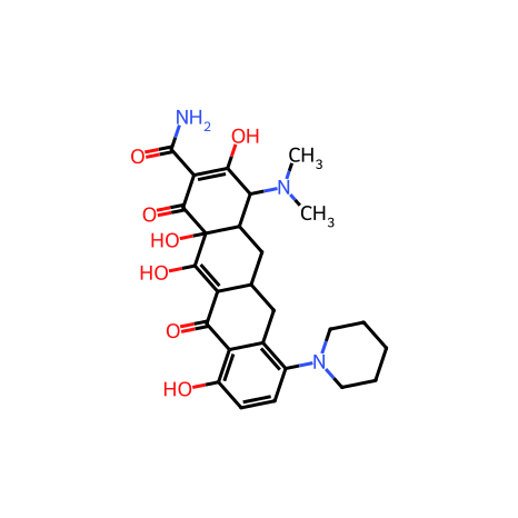 CN(C)C1C(O)=C(C(N)=O)C(=O)C2(O)C(O)=C3C(=O)c4c(O)ccc(N5CCCCC5)c4CC3CC12